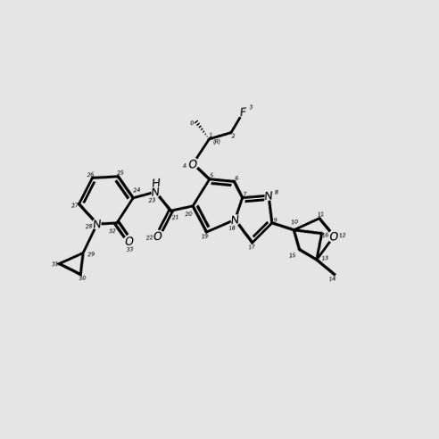 C[C@H](CF)Oc1cc2nc(C34COC(C)(C3)C4)cn2cc1C(=O)Nc1cccn(C2CC2)c1=O